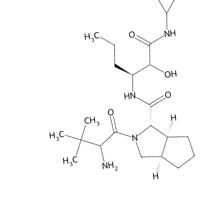 CCC[C@H](NC(=O)[C@@H]1[C@H]2CCC[C@H]2CN1C(=O)C(N)C(C)(C)C)C(O)C(=O)NC1CC1